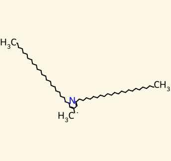 C[CH]c1cc(CCCCCCCCCCCCCCCCCCCCCCC)nc(CCCCCCCCCCCCCCCCCCCCCCC)c1